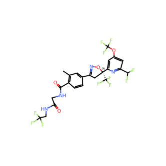 Cc1cc(C2=NO[C@](c3cc(OC(F)(F)F)cc(C(F)F)n3)(C(F)(F)F)C2)ccc1C(=O)NCC(=O)NCC(F)(F)F